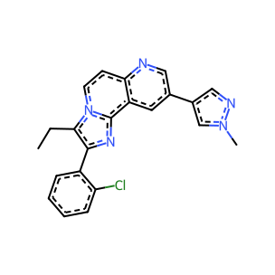 CCc1c(-c2ccccc2Cl)nc2c3cc(-c4cnn(C)c4)cnc3ccn12